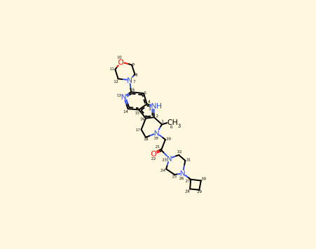 CC1c2[nH]c3cc(N4CCOCC4)ncc3c2CCN1CC(=O)N1CCN(C2CCC2)CC1